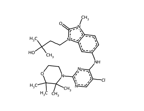 Cn1c(=O)n(CCC(C)(C)O)c2cc(Nc3nc(N4CCOC(C)(C)C4(C)C)ncc3Cl)ccc21